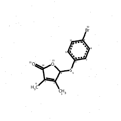 CC1=C(C)C(Sc2ccc(Br)cc2)OC1=O